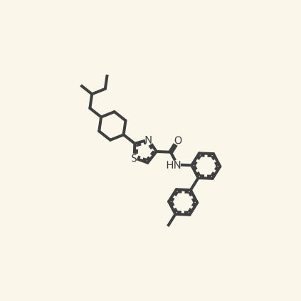 CCC(C)CC1CCC(c2nc(C(=O)Nc3ccccc3-c3ccc(C)cc3)cs2)CC1